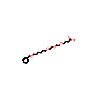 O=C(O)CCCOCCOCCOCCCCCCOCc1ccccc1